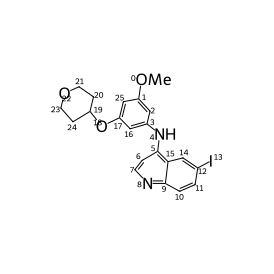 COc1cc(Nc2ccnc3ccc(I)cc23)cc(OC2CCOCC2)c1